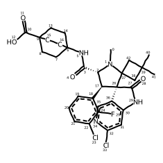 CN1[C@@H](C(=O)NC23CCC(C(=O)O)(CC2)CC3)[C@H](c2cccc(Cl)c2F)[C@]2(C(=O)Nc3cc(Cl)ncc32)C12CC(C)(C)C2